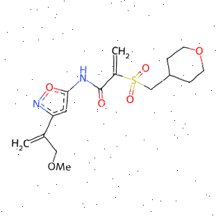 C=C(COC)c1cc(NC(=O)C(=C)S(=O)(=O)CC2CCOCC2)on1